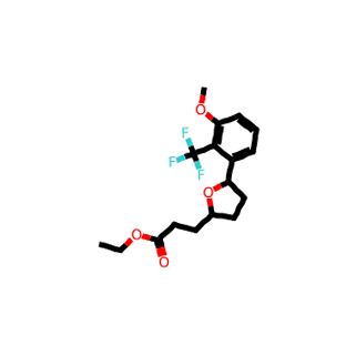 CCOC(=O)CCC1CCC(c2cccc(OC)c2C(F)(F)F)O1